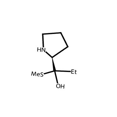 CCC(O)(SC)[C@@H]1CCCN1